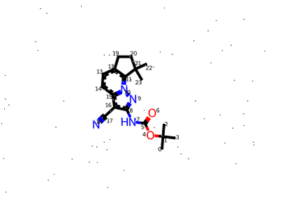 CC(C)(C)OC(=O)Nc1nn2c3c(ccc2c1C#N)CCC3(C)C